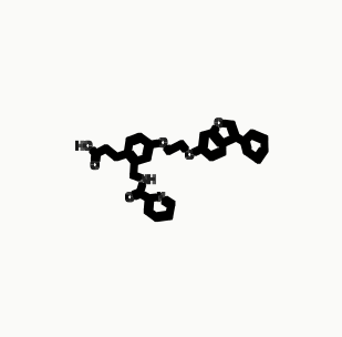 O=C(O)CCc1ccc(OCCOc2ccc3c(-c4ccccc4)coc3c2)cc1CNC(=O)c1ccccn1